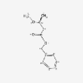 CO[C@@H](C)CC(=O)OCc1ccccc1